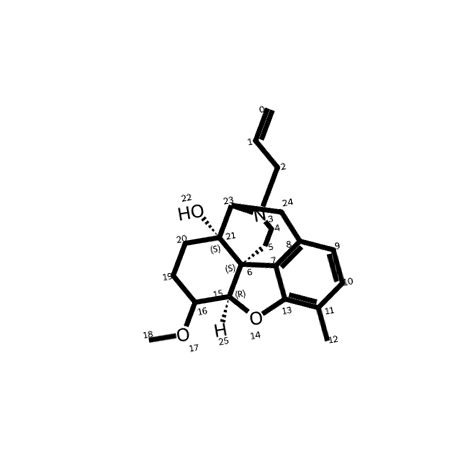 C=CCN1CC[C@]23c4c5ccc(C)c4O[C@H]2C(OC)CC[C@@]3(O)C1C5